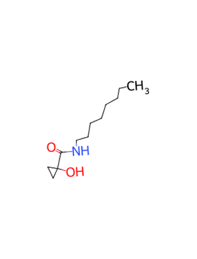 CCCCCCCCNC(=O)C1(O)CC1